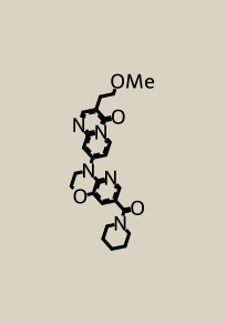 COCCc1cnc2cc(N3CCOc4cc(C(=O)N5CCCCC5)cnc43)ccn2c1=O